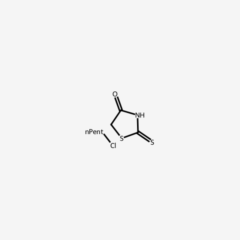 CCCCCCl.O=C1CSC(=S)N1